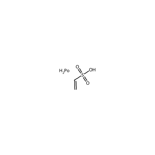 C=CS(=O)(=O)O.[PoH2]